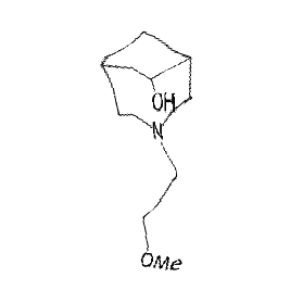 COCCN1CC2CC(C1)C2O